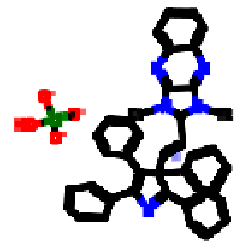 CCN1c2nc3ccccc3nc2N(CC)C1/C=C/C1(c2ccccc2)C(c2ccccc2)=NC(c2ccccc2)=C1c1ccccc1.[O-][Cl+3]([O-])([O-])O